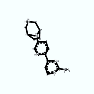 Nc1nccc(-c2ccc(N3C4CCC3CNC4)cn2)n1